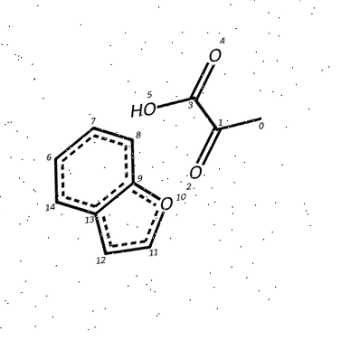 CC(=O)C(=O)O.c1ccc2occc2c1